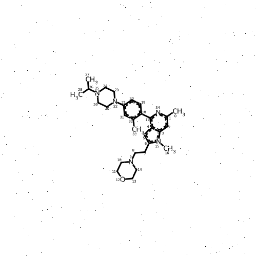 Cc1cc2c(cc(CCN3CCOCC3)n2C)c(-c2ccc(N3CCN(C(C)C)CC3)cc2C)n1